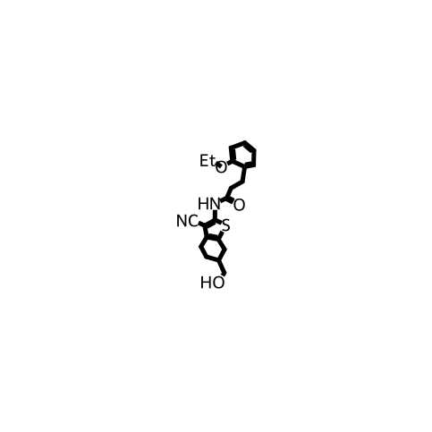 CCOc1ccccc1CCC(=O)Nc1sc2c(c1C#N)CCC(CO)C2